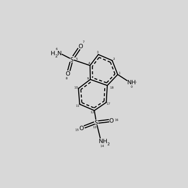 [NH]c1ccc(S(N)(=O)=O)c2ccc(S(N)(=O)=O)cc12